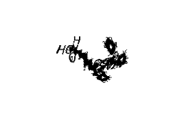 O=C(CCCCCCC(=O)N1Cc2ccccc2CC1C(=O)N[C@H](C(=O)OC1CCCC1)c1ccccc1)NO